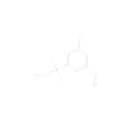 CCOC(=O)C(F)(F)c1cc(Br)cc(OCC)c1